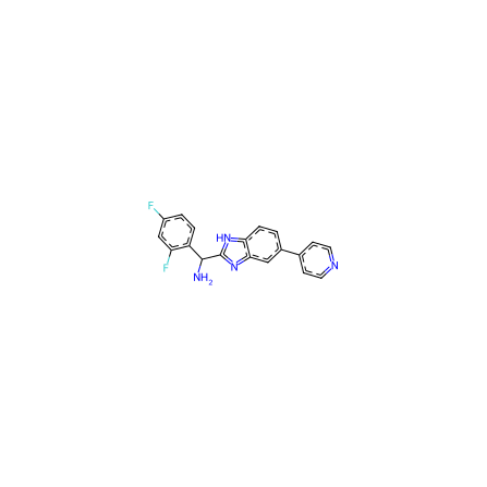 NC(c1nc2cc(-c3ccncc3)ccc2[nH]1)c1ccc(F)cc1F